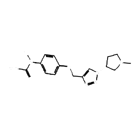 CNC(=O)N(C(C)=O)c1ccc(OCc2cn([C@@H]3CCN(C)C3)nn2)cc1